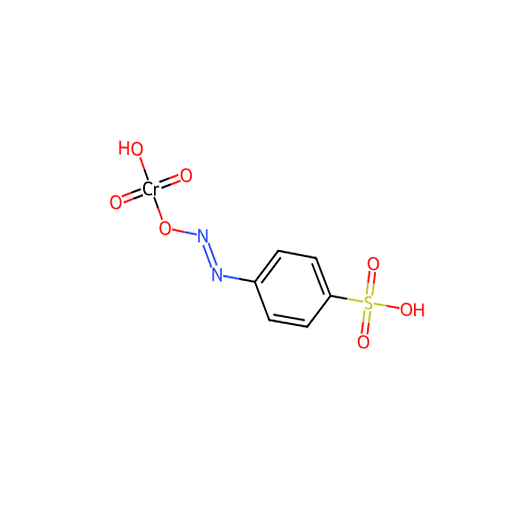 O=S(=O)(O)c1ccc(N=N[O][Cr](=[O])(=[O])[OH])cc1